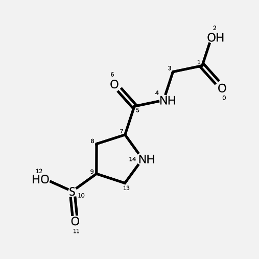 O=C(O)CNC(=O)C1CC(S(=O)O)CN1